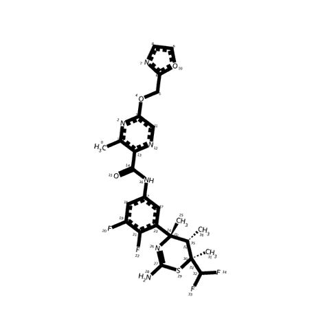 Cc1nc(OCc2ncco2)cnc1C(=O)Nc1cc(F)c(F)c([C@@]2(C)N=C(N)S[C@](C)(C(F)F)[C@H]2C)c1